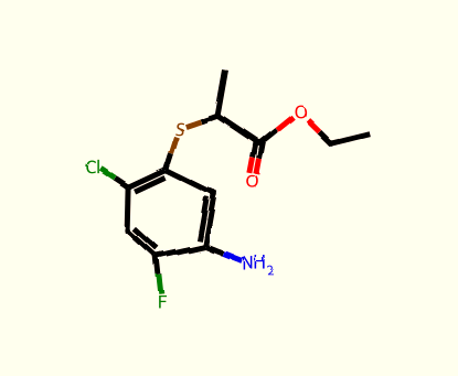 CCOC(=O)C(C)Sc1cc(N)c(F)cc1Cl